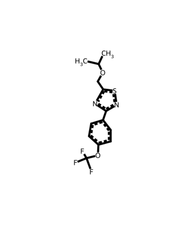 CC(C)OCc1nc(-c2ccc(OC(F)(F)F)cc2)ns1